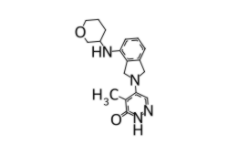 Cc1c(N2Cc3cccc(NC4CCCOC4)c3C2)cn[nH]c1=O